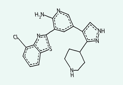 Nc1ncc(-c2c[nH]nc2C2CCNCC2)cc1-c1nc2c(Cl)cccc2s1